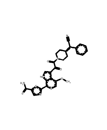 COc1cnc(-c2ncc(C(N)=O)s2)c2[nH]cc(C(=O)C(=O)N3CCC(=C(C#N)c4ccccc4)CC3)c12